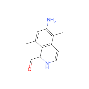 Cc1cc(N)c(C)c2c1C(C=O)NC=C2